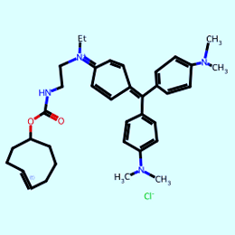 CC[N+](CCNC(=O)OC1CC/C=C/CCC1)=C1C=CC(=C(c2ccc(N(C)C)cc2)c2ccc(N(C)C)cc2)C=C1.[Cl-]